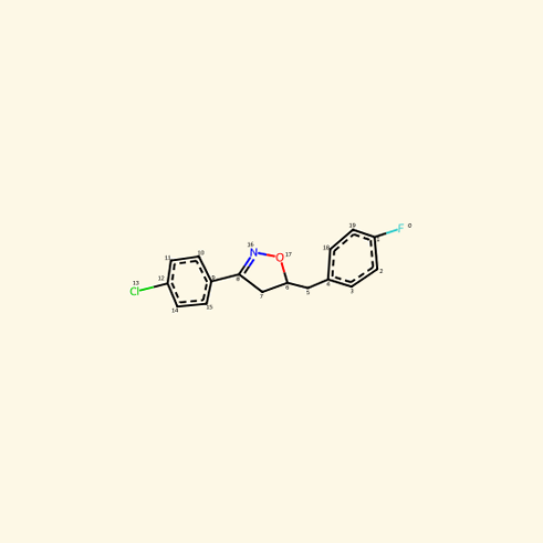 Fc1ccc(CC2CC(c3ccc(Cl)cc3)=NO2)cc1